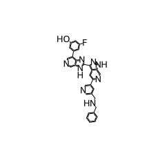 Oc1cc(F)cc(-c2cncc3[nH]c(-c4n[nH]c5cnc(-c6cncc(CNCc7ccccc7)c6)cc45)nc23)c1